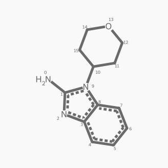 Nc1nc2ccccc2n1C1CCOCC1